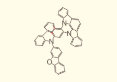 c1ccc(-c2ccccc2N(c2ccc3c(c2)oc2ccccc23)c2ccc3c(c2)n2c4ccccc4c4ccc5c6ccccc6n3c5c42)cc1